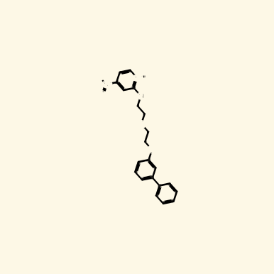 O=[N+]([O-])c1cc[n+]([O-])c(NCCOCCOc2cccc(-c3ccccc3)c2)c1